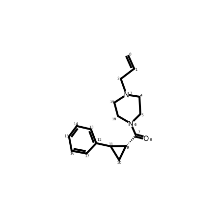 C=CCN1CCN(C(=O)[C@@H]2CC2c2ccccc2)CC1